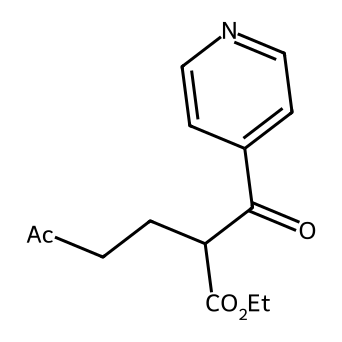 CCOC(=O)C(CCC(C)=O)C(=O)c1ccncc1